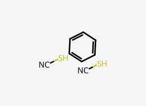 N#CS.N#CS.c1ccccc1